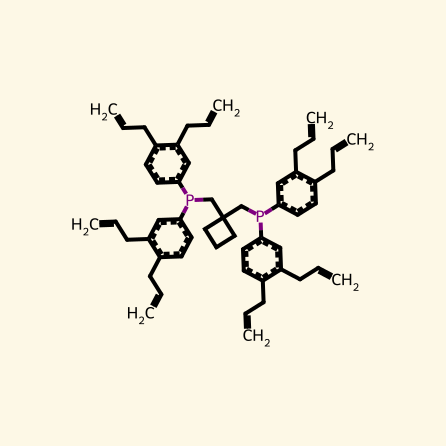 C=CCc1ccc(P(CC2(CP(c3ccc(CC=C)c(CC=C)c3)c3ccc(CC=C)c(CC=C)c3)CCC2)c2ccc(CC=C)c(CC=C)c2)cc1CC=C